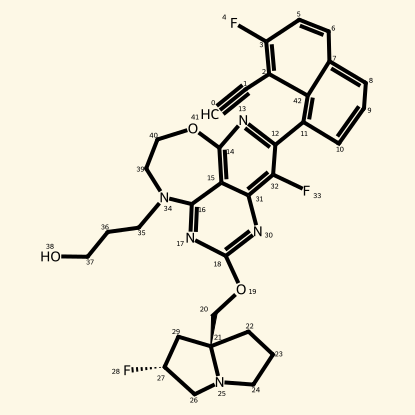 C#Cc1c(F)ccc2cccc(-c3nc4c5c(nc(OC[C@@]67CCCN6C[C@H](F)C7)nc5c3F)N(CCCO)CCO4)c12